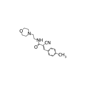 Cc1ccc(/C=C(\C#N)C(=O)NCCN2CCOCC2)cc1